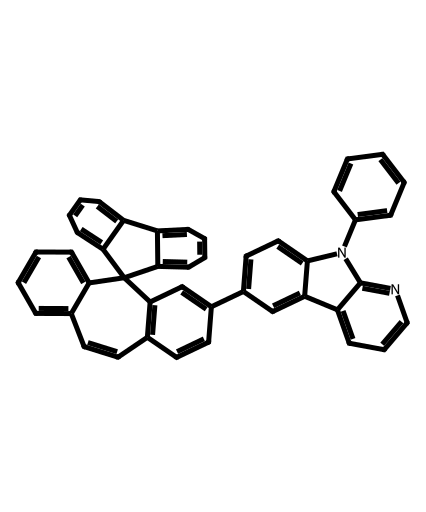 C1=Cc2ccc(-c3ccc4c(c3)c3cccnc3n4-c3ccccc3)cc2C2(c3ccccc31)c1ccccc1-c1ccccc12